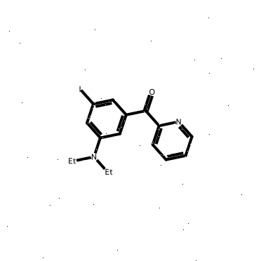 CCN(CC)c1cc(I)cc(C(=O)c2ccccn2)c1